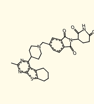 Cc1nc(C2CCN(Cc3ccc4c(c3)C(=O)N(C3CCC(=O)NC3=O)C4=O)CC2)c2c3c(sc2n1)CCCC3